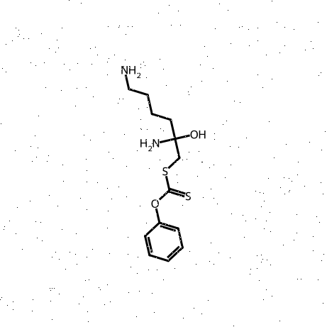 NCCCCC(N)(O)CSC(=S)Oc1ccccc1